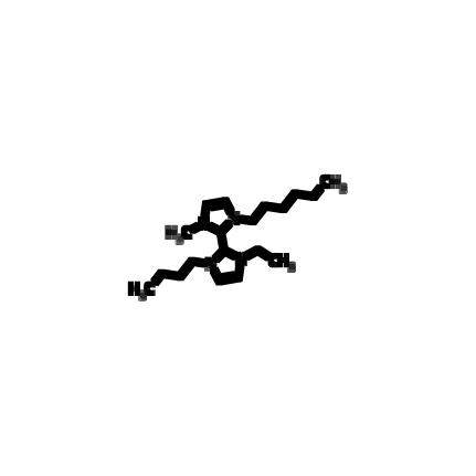 CCCCCCN1C=CN(C)C1C1N(CC)C=CN1CCCC